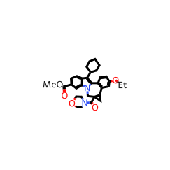 CCOc1ccc2c(c1)C1CC1(C(=O)N1CCOCC1)Cn1c-2c(C2CCCCC2)c2ccc(C(=O)OC)cc21